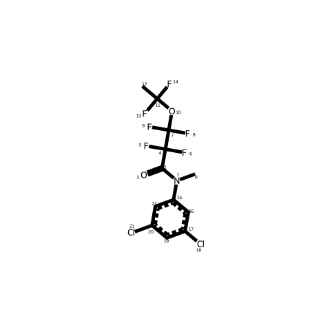 CN(C(=O)C(F)(F)C(F)(F)OC(C)(F)F)c1cc(Cl)cc(Cl)c1